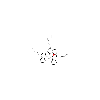 CCCCCc1ccc([Si](O)(c2ccc(CCCCC)c3ccccc23)c2ccc(CCCCC)c3ccccc23)c2ccccc12